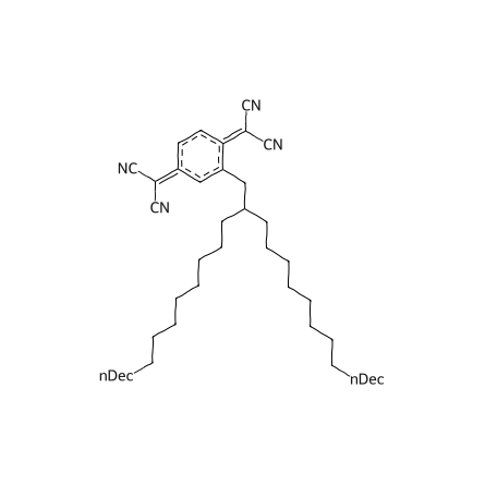 CCCCCCCCCCCCCCCCCCC(CCCCCCCCCCCCCCCCCC)Cc1cc(=C(C#N)C#N)ccc1=C(C#N)C#N